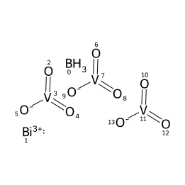 B.[Bi+3].[O]=[V](=[O])[O-].[O]=[V](=[O])[O-].[O]=[V](=[O])[O-]